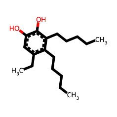 CCCCCc1c(CC)cc(O)c(O)c1CCCCC